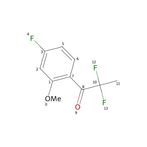 COc1cc(F)ccc1C(=O)C(C)(F)F